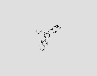 C=CC(O)Cc1ccc(-n2nc3ccccc3n2)cc1CN